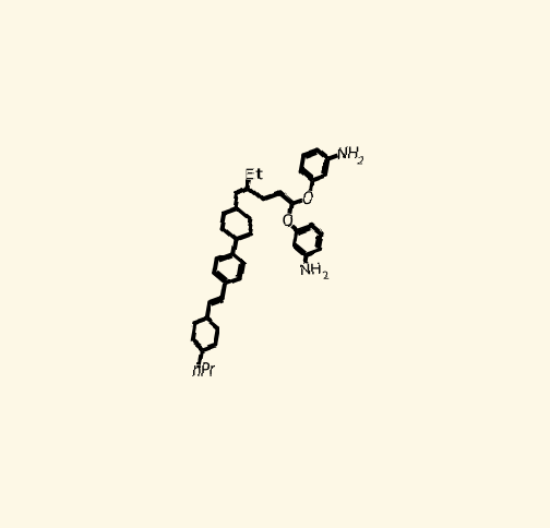 CCCC1CCC(/C=C/c2ccc(C3CCC(CC(CC)CCC(Oc4cccc(N)c4)Oc4cccc(N)c4)CC3)cc2)CC1